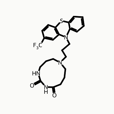 O=C1CCCN(CCCN2c3ccccc3Sc3ccc(C(F)(F)F)cc32)CCCNC(=O)N1